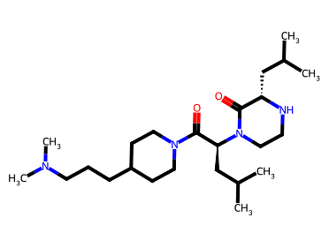 CC(C)C[C@@H]1NCCN([C@@H](CC(C)C)C(=O)N2CCC(CCCN(C)C)CC2)C1=O